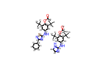 CC(=O)Oc1c(C(C)(C)C)cc(Nc2nc(-c3ccccc3)ns2)cc1C(C)(C)C.CC(=O)Oc1c(C(C)(C)C)cc(Nc2ncc[nH]2)cc1C(C)(C)C